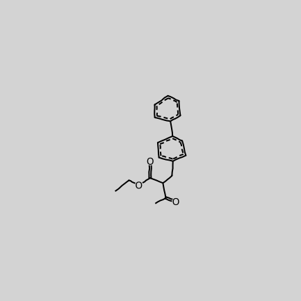 CCOC(=O)C(Cc1ccc(-c2ccccc2)cc1)C(C)=O